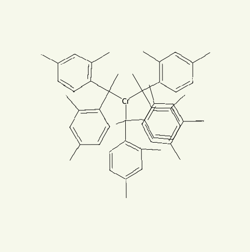 Cc1ccc([C](C)(c2ccc(C)cc2C)[Cr]([C](C)(c2ccc(C)cc2C)c2ccc(C)cc2C)[C](C)(c2ccc(C)cc2C)c2ccc(C)cc2C)c(C)c1